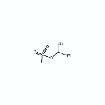 CC(C)C(OS(C)(=O)=O)C(C)(C)C